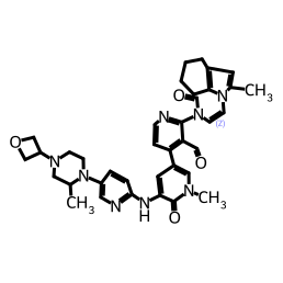 Cc1cc2c(n1/C=C\N(C=O)c1nccc(-c3cc(Nc4ccc(N5CCN(C6COC6)CC5C)cn4)c(=O)n(C)c3)c1C=O)CCCC2